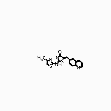 Cc1csc(NC2=NC(=O)/C(=C/c3ccc4ncccc4c3)S2)n1